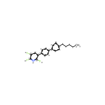 CCCCCc1ccc(-c2ccc(-c3cc(F)c(F)nc3F)cc2)cc1